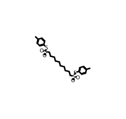 Cc1ccc(SS(=O)(=O)CCCCCCCCCCS(=O)(=O)Sc2ccc(C)cc2)cc1